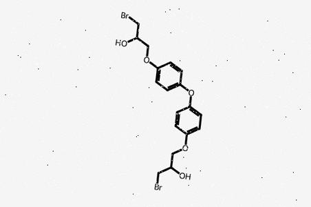 OC(CBr)COc1ccc(Oc2ccc(OCC(O)CBr)cc2)cc1